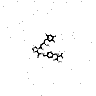 CC(C)C(Nc1ccc(CNC(=O)C2SCCN2C(=O)C[C@H](N)Cc2cc(F)c(F)cc2F)cc1)C(=O)O